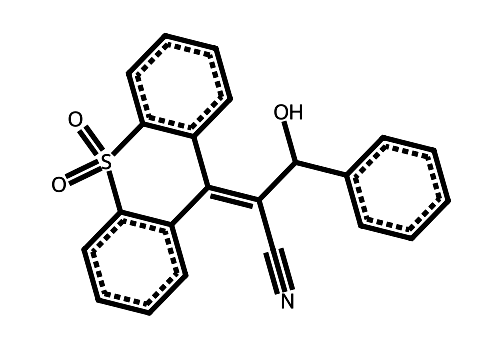 N#CC(=C1c2ccccc2S(=O)(=O)c2ccccc21)C(O)c1ccccc1